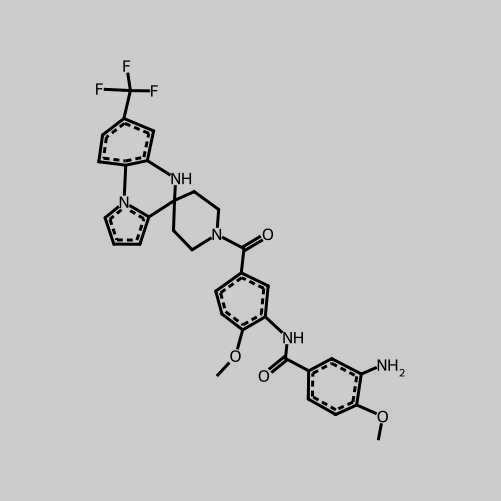 COc1ccc(C(=O)Nc2cc(C(=O)N3CCC4(CC3)Nc3cc(C(F)(F)F)ccc3-n3cccc34)ccc2OC)cc1N